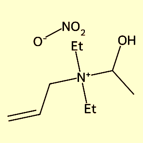 C=CC[N+](CC)(CC)C(C)O.O=[N+]([O-])[O-]